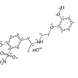 CCOc1ccccc1OCCNC(C)Cc1ccc(O)c(S(N)(=O)=O)c1.Cl